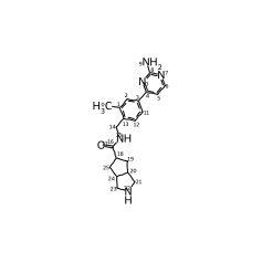 Cc1cc(-c2ccnc(N)n2)ccc1CNC(=O)C1CC2CNCC2C1